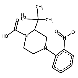 CC(C)(C)C1CN(c2ccccc2[N+](=O)[O-])CCN1C(=O)O